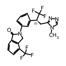 Cn1cnnc1C[C@@H](c1cccc(N2Cc3c(cccc3C(F)(F)F)C2=O)c1)C(F)(F)F